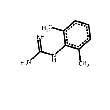 Cc1cccc(C)c1NC(=N)N